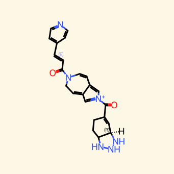 O=C(/C=C/c1ccncc1)N1C=CC2=C[N+](C(=O)C3=C[C@H]4NNNC4CC3)=CC2=CC1